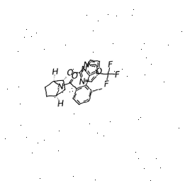 Cc1cccc(C(=O)N2[C@@H]3CC[C@H]2[C@H](Oc2ncc(C(F)(F)F)cn2)C3)c1-c1ncco1